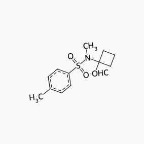 Cc1ccc(S(=O)(=O)N(C)C2([C]=O)CCC2)cc1